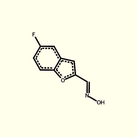 ON=Cc1cc2cc(F)ccc2o1